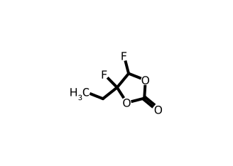 CCC1(F)OC(=O)OC1F